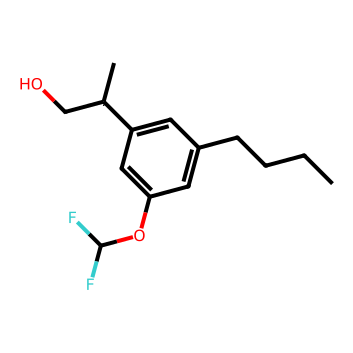 CCCCc1cc(OC(F)F)cc([C](C)CO)c1